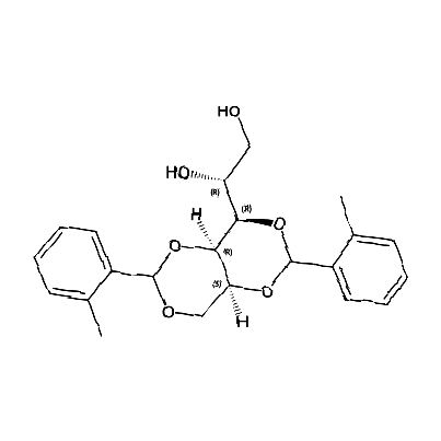 Cc1ccccc1C1OC[C@@H]2OC(c3ccccc3C)O[C@H]([C@H](O)CO)[C@@H]2O1